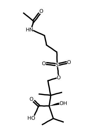 CC(=O)NCCCS(=O)(=O)OCC(C)(C)[C@@](O)(C(=O)O)C(C)C